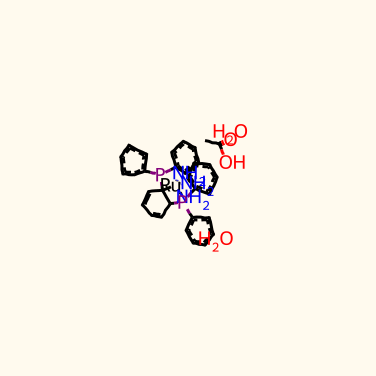 CC(=O)O.O.O.[NH2][Ru]([NH2])([NH2])[C]1(P(c2ccccc2)c2ccccc2)C=CC=CC1P(c1ccccc1)c1ccccc1